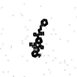 Nc1cc(C(=O)NCCCN2CCCCC2)ccc1C(=O)NCc1ccccc1F